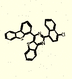 Clc1ccc(-c2nc(-c3cccc4c3sc3ccccc34)c3sc4ccccc4c3n2)c2ccccc12